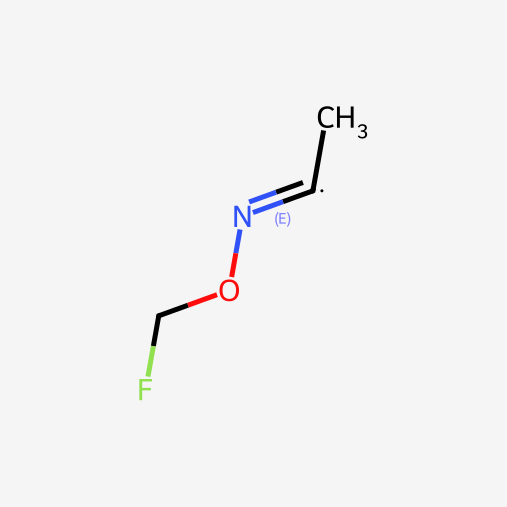 C/[C]=N/OCF